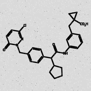 O=C(Nc1cccc(CC2(C(=O)O)CC2)c1)C(c1ccc(Cn2nc(Cl)ccc2=O)cc1)C1CCCC1